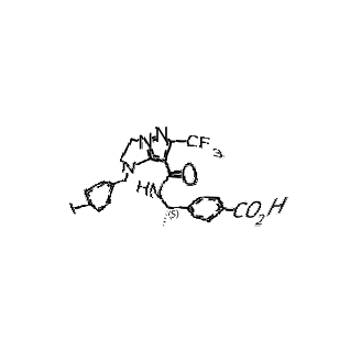 C[C@H](NC(=O)c1c(C(F)(F)F)nn2c1N(Cc1ccc(I)cc1)CC2)c1ccc(C(=O)O)cc1